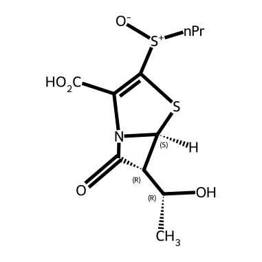 CCC[S+]([O-])C1=C(C(=O)O)N2C(=O)[C@@H]([C@@H](C)O)[C@@H]2S1